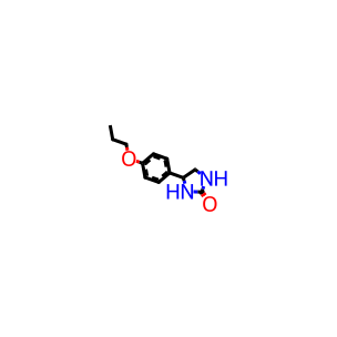 CCCOc1ccc(C2CNC(=O)N2)cc1